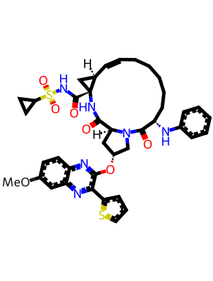 COc1ccc2nc(O[C@@H]3C[C@H]4C(=O)N[C@]5(C(=O)NS(=O)(=O)C6CC6)C[C@H]5/C=C\CCCCC[C@H](Nc5ccccc5)C(=O)N4C3)c(-c3cccs3)nc2c1